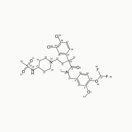 COc1cc(CN(C)C(=O)C(C)(CCN2CCC(NS(C)(=O)=O)CC2)c2ccc(Cl)c(Cl)c2)ccc1OC(F)F